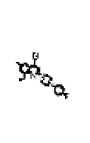 C=Cc1cc(C)cc2c(C#N)cc(N3CCN(c4ccc(F)cc4)CC3)nc12